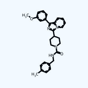 COc1cccc(-c2nc(C3CCN(C(=O)NCc4ccc(C)cc4)CC3)n3ccccc23)c1